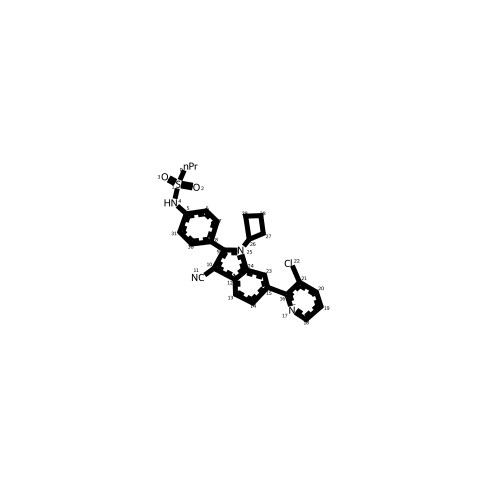 CCCS(=O)(=O)Nc1ccc(-c2c(C#N)c3ccc(-c4ncccc4Cl)cc3n2C2CCC2)cc1